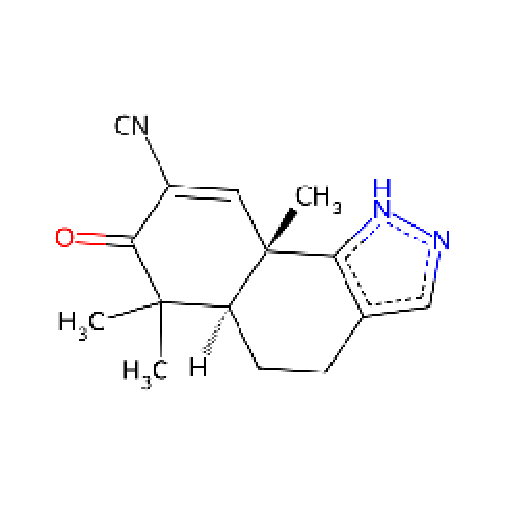 [C-]#[N+]C1=C[C@]2(C)c3[nH]ncc3CC[C@H]2C(C)(C)C1=O